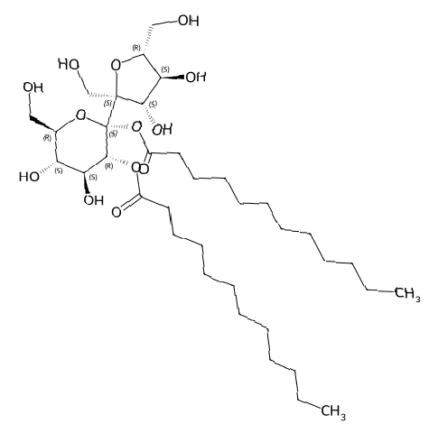 CCCCCCCCCCCC(=O)O[C@@H]1[C@@H](O)[C@H](O)[C@@H](CO)O[C@@]1(OC(=O)CCCCCCCCCCC)[C@@]1(CO)O[C@H](CO)[C@@H](O)[C@@H]1O